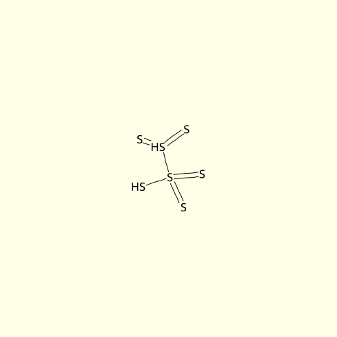 S=[SH](=S)S(=S)(=S)S